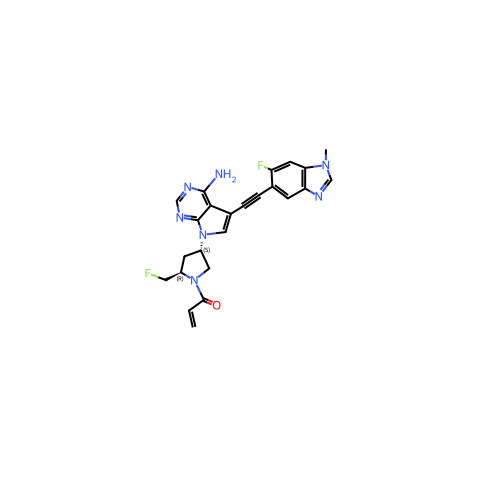 C=CC(=O)N1C[C@@H](n2cc(C#Cc3cc4ncn(C)c4cc3F)c3c(N)ncnc32)C[C@@H]1CF